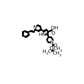 CC(C)(C)OC(=O)N1CCC(c2[nH]c(-c3ccnc(/C=C/c4ccccc4)c3)cc2C(=O)O)CC1